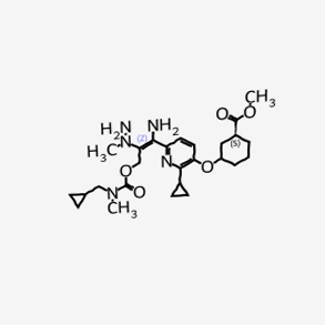 COC(=O)[C@H]1CCCC(Oc2ccc(/C(N)=C(\COC(=O)N(C)CC3CC3)N(C)N)nc2C2CC2)C1